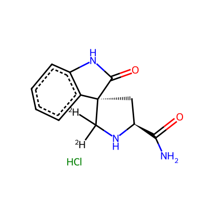 Cl.[2H]C1([2H])N[C@H](C(N)=O)C[C@]12C(=O)Nc1ccccc12